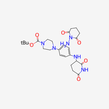 CC(C)(C)OC(=O)N1CCN(c2ccc(NC3CCC(=O)NC3=O)cc2)CC1.NN1C(=O)CCCC1=O